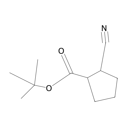 CC(C)(C)OC(=O)C1CCCC1C#N